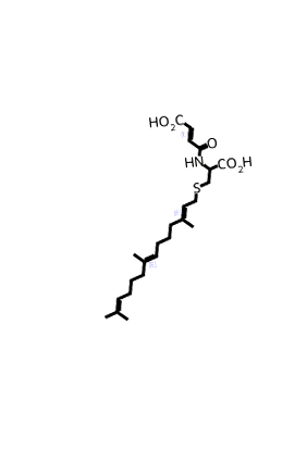 CC(C)=CCCC/C(C)=C/CCC/C(C)=C/CSCC(NC(=O)/C=C/C(=O)O)C(=O)O